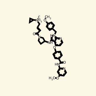 COc1ccc(Cn2nc(NC3CCN(C(=O)C=CCN(C)C4CC4)C3)c3c(Oc4ccc(C(=O)Nc5cc(OC)ccn5)cc4)ccnc32)cc1